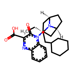 CC[C@@H](CC1CCCCC1)N1[C@@H]2CC[C@H]1C[C@@H](n1c(=O)c(C(=O)O)nc3ccccc31)C2